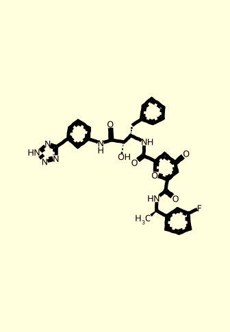 C[C@@H](NC(=O)c1cc(=O)cc(C(=O)N[C@@H](Cc2ccccc2)[C@H](O)C(=O)Nc2cccc(-c3nn[nH]n3)c2)o1)c1cccc(F)c1